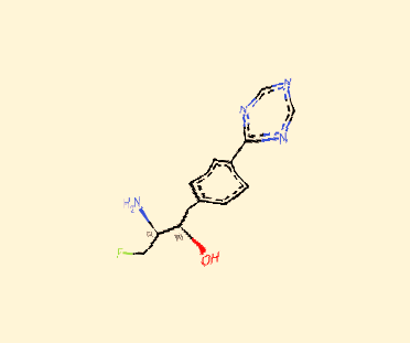 N[C@H](CF)[C@H](O)c1ccc(-c2ncncn2)cc1